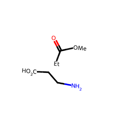 CCC(=O)OC.NCCC(=O)O